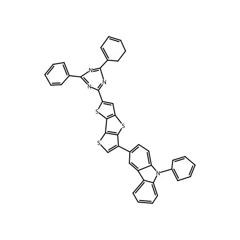 C1=CCCC(c2nc(-c3ccccc3)nc(-c3cc4sc5c(-c6ccc7c(c6)c6ccccc6n7-c6ccccc6)csc5c4s3)n2)=C1